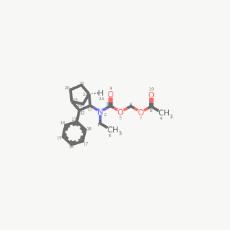 CCN(C(=O)OCOC(C)=O)C1C(c2ccccc2)C2CC[C@@H]1C2